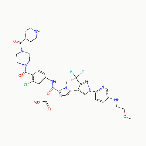 COCCNc1ccc(-n2cc(-c3cnc(C(=O)Nc4ccc(C(=O)N5CCN(C(=O)C6CCNCC6)CC5)c(Cl)c4)n3C)c(C(F)(F)F)n2)nc1.O=CO